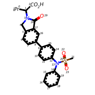 CC(C)C(C(=O)O)N1Cc2ccc(-c3ccc(N(c4ccccc4)S(C)(=O)=O)cc3)cc2C1=O